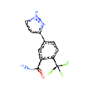 NC(=O)c1cc(-c2cc[nH]n2)ccc1C(F)(F)F